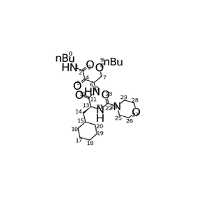 CCCCNC(=O)C(=O)C(COCCCC)NC(=O)[C@H](CC1CCCCC1)NC(=O)N1CCOCC1